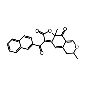 CC1CC2=CC3=C(C(=O)c4ccc5ccccc5c4)C(=O)OC3(C)C(=O)C2=CO1